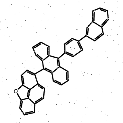 c1ccc2cc(-c3ccc(-c4c5ccccc5c(-c5ccc6oc7cccc8ccc5c6c87)c5ccccc45)cc3)ccc2c1